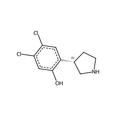 Oc1cc(Cl)c(Cl)cc1[C@@H]1CCNC1